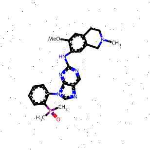 COc1cc2c(cc1Nc1ncc3ncn(-c4ccccc4P(C)(C)=O)c3n1)CN(C)CC2